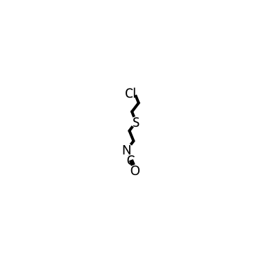 O=C=NCCSCCCl